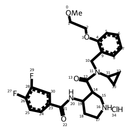 COCCOc1ccccc1CN(C(=O)C1CNCCC1NC(=O)c1ccc(F)c(F)c1)C1CC1.Cl